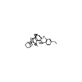 CCc1ccc(Nc2ncnc(O[C@H]3CC4CCC3N4C(=O)OC3(C)CC3)c2OC)c(F)c1